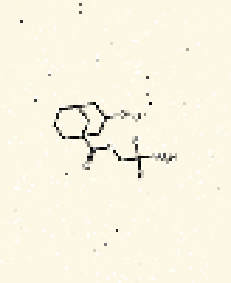 O=CC1CC2CCCC(C(=O)OCC(F)(F)S(=O)(=O)O)(C1)C2